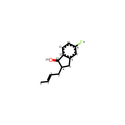 C/C=C/CC1Cc2cc(F)ccc2C1=O